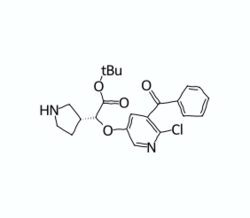 CC(C)(C)OC(=O)C(Oc1cnc(Cl)c(C(=O)c2ccccc2)c1)[C@@H]1CCNC1